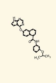 CC(C)Oc1cccc(NC(=O)c2cccc3cc(Oc4ncnc5[nH]ccc45)ccc23)c1